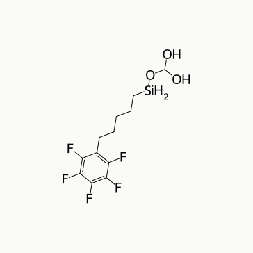 OC(O)O[SiH2]CCCCCc1c(F)c(F)c(F)c(F)c1F